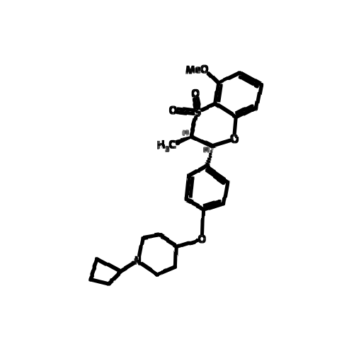 COc1cccc2c1S(=O)(=O)[C@H](C)[C@@H](c1ccc(OC3CCN(C4CCC4)CC3)cc1)O2